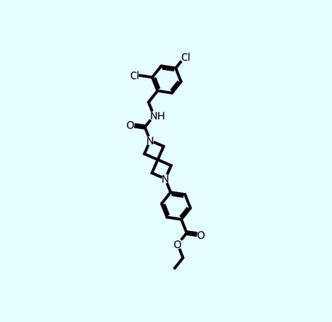 CCOC(=O)c1ccc(N2CC3(CN(C(=O)NCc4ccc(Cl)cc4Cl)C3)C2)cc1